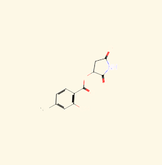 N#Cc1ccc(C(=O)OC2CC(=O)NC2=O)c(O)c1